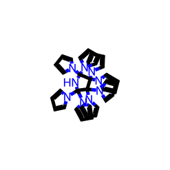 c1ccn(C2(n3cccc3)NC(n3cccc3)(n3cccc3)C(n3cccc3)(n3cccc3)C2(n2cccc2)n2cccc2)c1